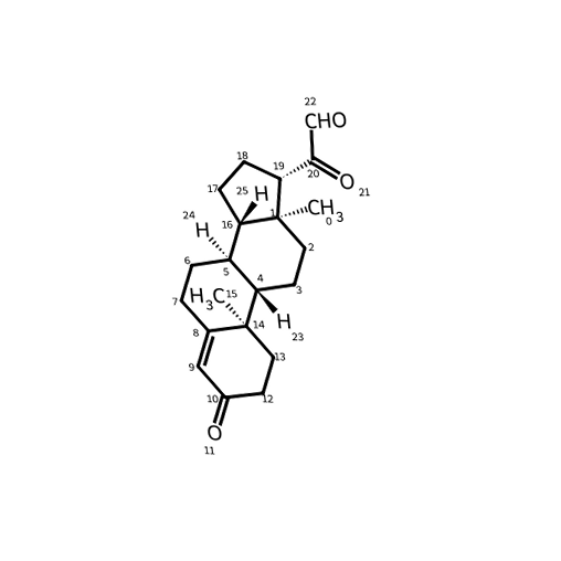 C[C@]12CC[C@H]3[C@@H](CCC4=CC(=O)CC[C@@]43C)[C@@H]1CC[C@@H]2C(=O)C=O